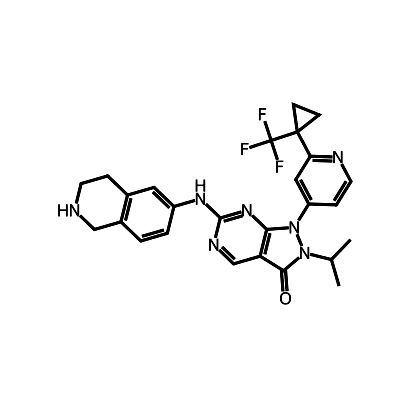 CC(C)n1c(=O)c2cnc(Nc3ccc4c(c3)CCNC4)nc2n1-c1ccnc(C2(C(F)(F)F)CC2)c1